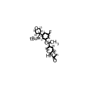 CC(Oc1cc(F)cc(C2(SC(C)(C)C)CCOCC2)c1)c1ccc2[nH]c(=O)ccc2c1